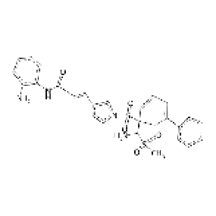 CS(=O)(=O)C(N)C1(S(=O)(=O)n2ccc(/C=C/C(=O)Nc3ccccc3N)c2)C=CC=C(c2ccccc2)C1